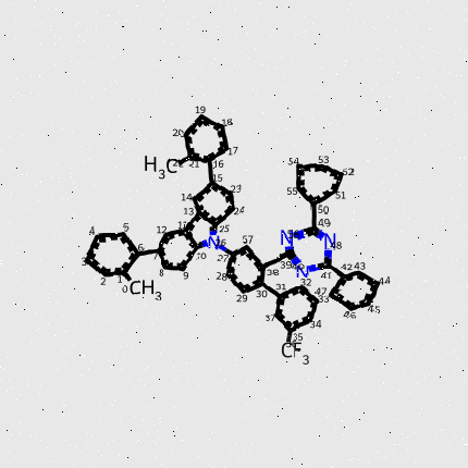 Cc1ccccc1-c1ccc2c(c1)c1cc(-c3ccccc3C)ccc1n2-c1ccc(-c2cccc(C(F)(F)F)c2)c(-c2nc(-c3ccccc3)nc(-c3ccccc3)n2)c1